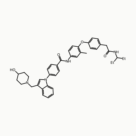 CCC(CC)NC(=O)Cc1ccc(Oc2ccc(NC(=O)c3ccc(-n4cc(CN5CCC(O)CC5)c5ccccc54)cc3)cc2C)cc1